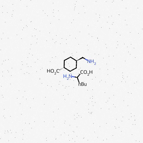 CCCCC(N)C(=O)O.NC[C@H]1CC[C@H](C(=O)O)CC1